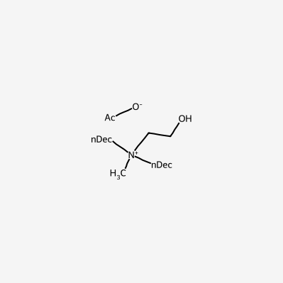 CC(=O)[O-].CCCCCCCCCC[N+](C)(CCO)CCCCCCCCCC